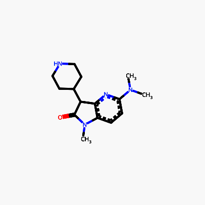 CN(C)c1ccc2c(n1)C(C1CCNCC1)C(=O)N2C